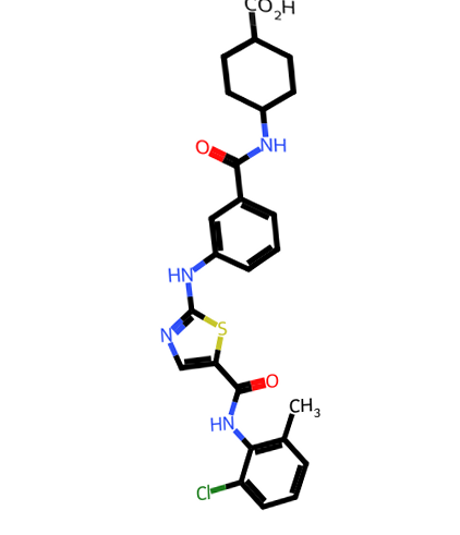 Cc1cccc(Cl)c1NC(=O)c1cnc(Nc2cccc(C(=O)NC3CCC(C(=O)O)CC3)c2)s1